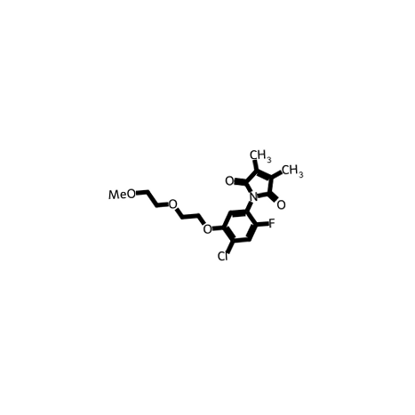 COCCOCCOc1cc(N2C(=O)C(C)=C(C)C2=O)c(F)cc1Cl